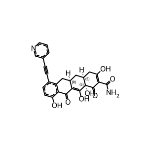 NC(=O)C1=C(O)C[C@@H]2C[C@@H]3Cc4c(C#Cc5cccnc5)ccc(O)c4C(=O)C3=C(O)[C@]2(O)C1=O